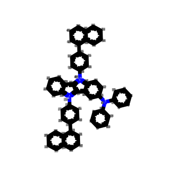 c1ccc(N(c2ccccc2)c2ccc3c(c2)c2c(c4ccccc4n2-c2ccc(-c4cccc5ccccc45)cc2)n3-c2ccc(-c3cccc4ccccc34)cc2)cc1